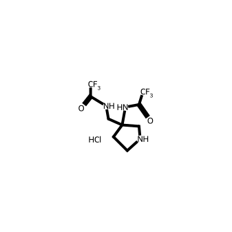 Cl.O=C(NCC1(NC(=O)C(F)(F)F)CCNC1)C(F)(F)F